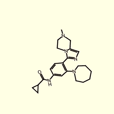 CN1CCn2c(cnc2-c2ccc(NC(=O)C3CC3)cc2N2CCCCCC2)C1